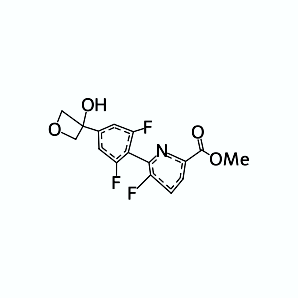 COC(=O)c1ccc(F)c(-c2c(F)cc(C3(O)COC3)cc2F)n1